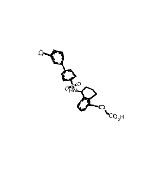 O=C(O)COc1cccc2c1CCCC2NS(=O)(=O)c1ccc(-c2cccc(Cl)c2)cc1